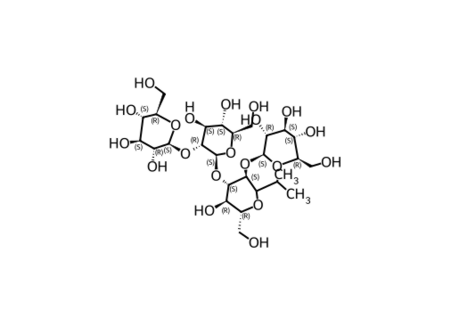 CC(C)C1O[C@H](CO)[C@@H](O)[C@H](O[C@@H]2O[C@H](CO)[C@@H](O)[C@H](O)[C@H]2O[C@@H]2O[C@H](CO)[C@@H](O)[C@H](O)[C@H]2O)[C@H]1O[C@@H]1O[C@H](CO)[C@@H](O)[C@H](O)[C@H]1O